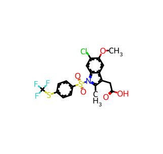 COc1cc2c(CC(=O)O)c(C)n(S(=O)(=O)c3ccc(SC(F)(F)F)cc3)c2cc1Cl